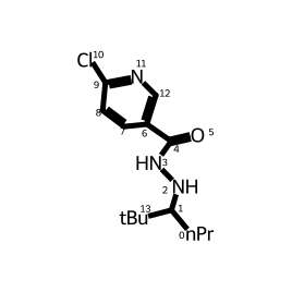 CCCC(NNC(=O)c1ccc(Cl)nc1)C(C)(C)C